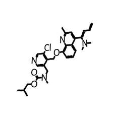 C=C/C=C(/c1cc(C)nc2c(OCc3c(Cl)cncc3CN(C)C(=O)OCC(C)C)cccc12)N(C)C